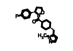 Cn1nccc1C[C@H]1CC[C@H](C(=O)N2OCC[C@H]2c2ccc(F)cc2)CC1